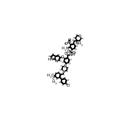 CC1(C)CCC(CN2CCN(c3ccc(C(=O)NS(=O)(=O)c4ccc(CC5(N)CCOCC5)c([N+](=O)[O-])c4N)c(Oc4cnc5[nH]ccc5c4)c3)CC2)=C(c2ccc(Cl)cc2)C1